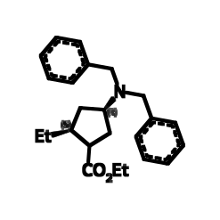 CCOC(=O)C1C[C@H](N(Cc2ccccc2)Cc2ccccc2)C[C@@H]1CC